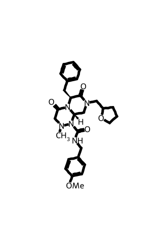 COc1ccc(CNC(=O)N2[C@H]3CN(CC4CCCO4)C(=O)[C@H](Cc4ccccc4)N3C(=O)CN2C)cc1